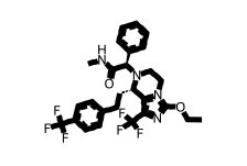 CCOc1nc(C(F)(F)F)c2n1CCN([C@@H](C(=O)NC)c1ccccc1)[C@H]2CCc1ccc(C(F)(F)F)cc1